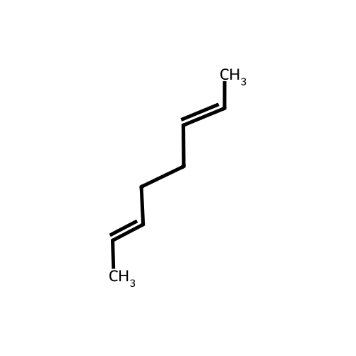 CC=CCCC=CC